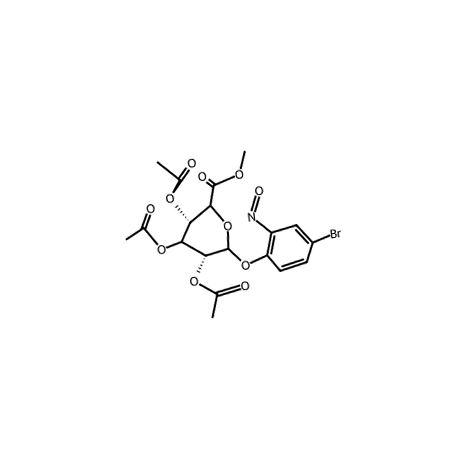 COC(=O)C1OC(Oc2ccc(Br)cc2N=O)[C@H](OC(C)=O)C(OC(C)=O)[C@@H]1OC(C)=O